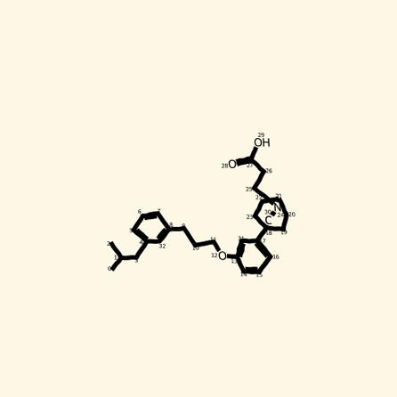 CC(C)Cc1cccc(CCCOc2cccc(C34CCC(CC3)N(CCC(=O)O)C4)c2)c1